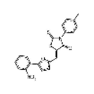 Cc1ccc(N2C(=O)C(=Cc3ccc(-c4ccccc4[N+](=O)[O-])o3)SC2=S)cc1